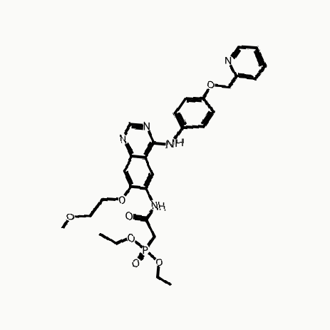 CCOP(=O)(CC(=O)Nc1cc2c(Nc3ccc(OCc4ccccn4)cc3)ncnc2cc1OCCOC)OCC